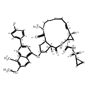 COc1ccc2c(O[C@H]3CC4C(=O)N(C)CCCC/C=C\[C@@H]5C[C@@]5(C(=O)NS(=O)(=O)C5CC5)NC(=O)[C@@H]4C3)nc(-c3ccc(F)cc3)nc2c1C